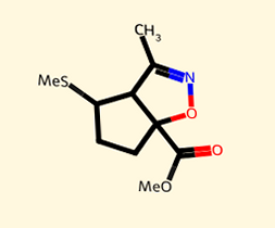 COC(=O)C12CCC(SC)C1C(C)=NO2